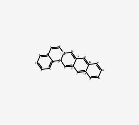 C1=Cc2ccccc2N2C=c3cc4ccccc4cc3=CB12